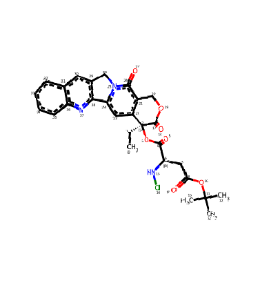 CC[C@@]1(OC(=O)[C@@H](CC(=O)OC(C)(C)C)NCl)C(=O)OCc2c1cc1n(c2=O)Cc2cc3ccccc3nc2-1